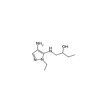 CCC(O)CNc1c(N)cnn1CC